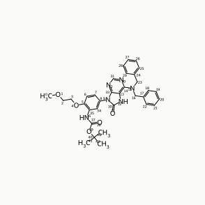 COCCOc1ccc(-n2c(=O)[nH]c3c(N(Cc4ccccc4)Cc4ccccc4)ncnc32)cc1NC(=O)OC(C)(C)C